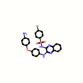 Nc1ccc(Oc2ccc(Nc3nc4ccccc4nc3NS(=O)(=O)c3ccc(Cl)cc3)cc2)cc1